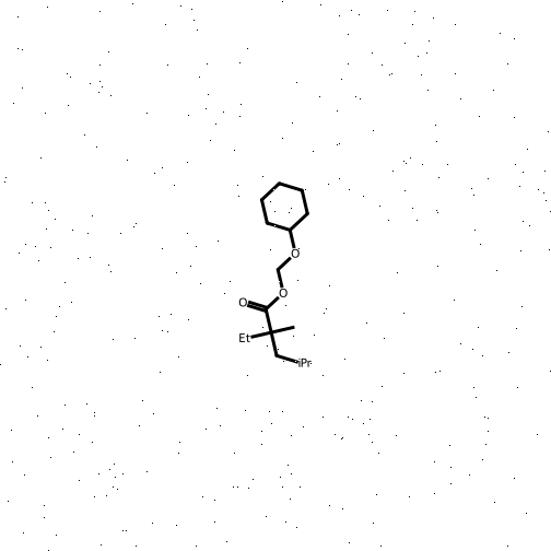 CCC(C)(CC(C)C)C(=O)OCOC1CCCCC1